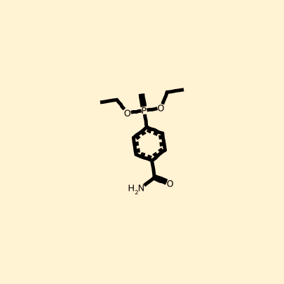 C=P(OCC)(OCC)c1ccc(C(N)=O)cc1